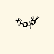 C[C@@H]1CN(C(=O)OC(C)(C)C)CC[C@@H]1Nc1ncc(C#N)c(Cl)n1